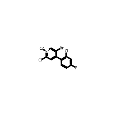 [O-][n+]1cc(Br)c(-c2ccc(F)cc2Cl)cc1Cl